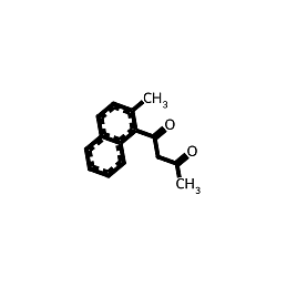 CC(=O)CC(=O)c1c(C)ccc2ccccc12